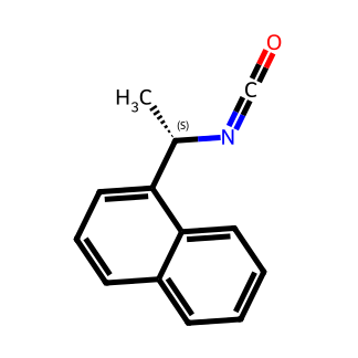 C[C@H](N=C=O)c1cccc2ccccc12